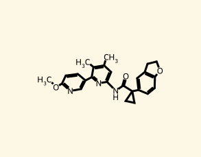 COc1ccc(-c2nc(NC(=O)C3(c4ccc5c(c4)CCO5)CC3)cc(C)c2C)cn1